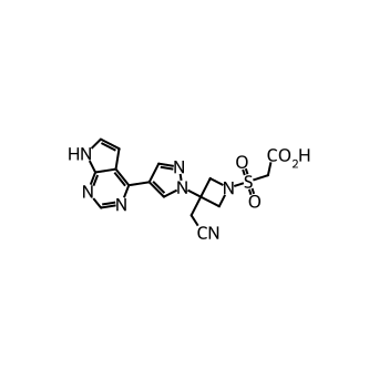 N#CCC1(n2cc(-c3ncnc4[nH]ccc34)cn2)CN(S(=O)(=O)CC(=O)O)C1